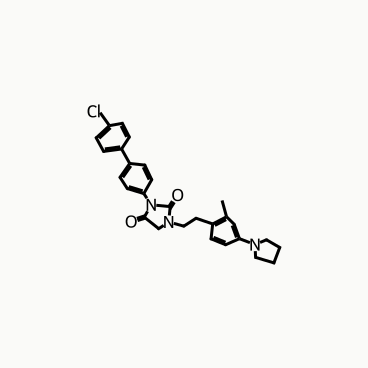 Cc1cc(N2CCCC2)ccc1CCN1CC(=O)N(c2ccc(-c3ccc(Cl)cc3)cc2)C1=O